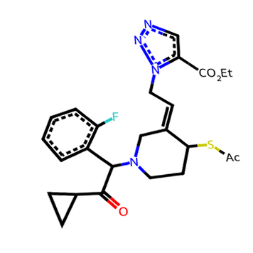 CCOC(=O)c1cnnn1C/C=C1\CN(C(C(=O)C2CC2)c2ccccc2F)CCC1SC(C)=O